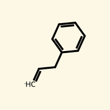 [CH]=CCc1ccccc1